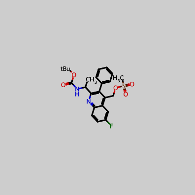 CC(NC(=O)OC(C)(C)C)c1nc2ccc(F)cc2c(COS(C)(=O)=O)c1-c1ccccc1